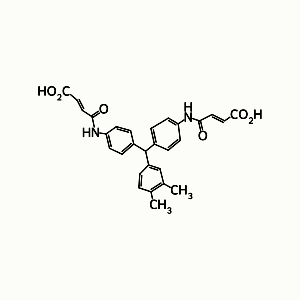 Cc1ccc(C(c2ccc(NC(=O)/C=C/C(=O)O)cc2)c2ccc(NC(=O)/C=C/C(=O)O)cc2)cc1C